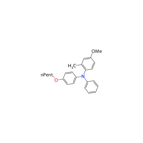 CCCCCOc1ccc(N(c2ccccc2)c2ccc(OC)cc2C)cc1